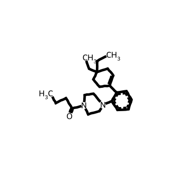 CCCC(=O)N1CCN(c2ccccc2C2=CCC(CC)(CC)CC2)CC1